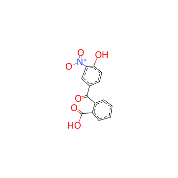 O=C(O)c1ccccc1C(=O)c1ccc(O)c([N+](=O)[O-])c1